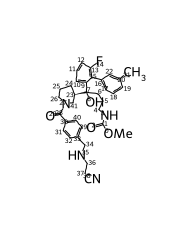 COC(=O)NCCCC(O)(c1cccc(F)c1-c1cccc(C)c1)[C@@H]1CCCN(C(=O)c2ccc(CNCCC#N)cc2)C1